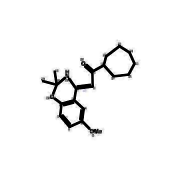 COc1ccc2c(c1)/C(=C/C(=O)C1CCCCCC1)NC(C)(C)O2